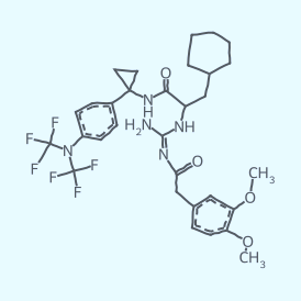 COc1ccc(CC(=O)N=C(N)NC(CC2CCCCC2)C(=O)NC2(c3ccc(N(C(F)(F)F)C(F)(F)F)cc3)CC2)cc1OC